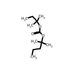 CCCC(C)(C)OC(=O)OC(C)(C)CC